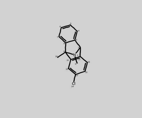 CN1C2c3ccccc3C1(C)c1cc(Cl)ccc12